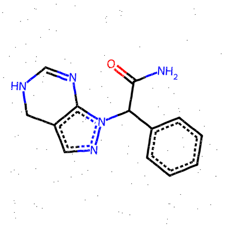 NC(=O)C(c1ccccc1)n1ncc2c1N=CNC2